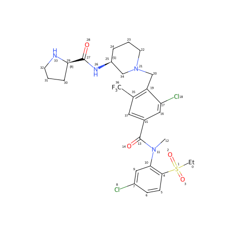 CCS(=O)(=O)c1ccc(Cl)cc1N(C)C(=O)c1cc(Cl)c(CN2CCC[C@H](NC(=O)[C@H]3CCCN3)C2)c(C(F)(F)F)c1